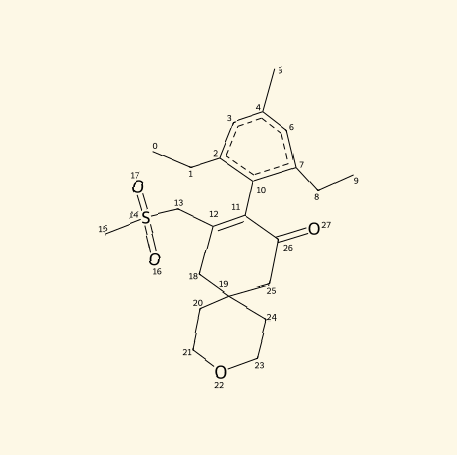 CCc1cc(C)cc(CC)c1C1=C(CS(C)(=O)=O)CC2(CCOCC2)CC1=O